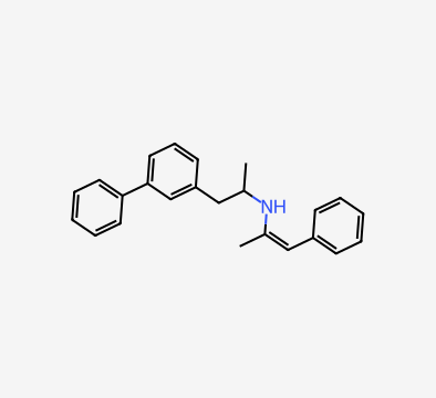 CC(=Cc1ccccc1)NC(C)Cc1cccc(-c2ccccc2)c1